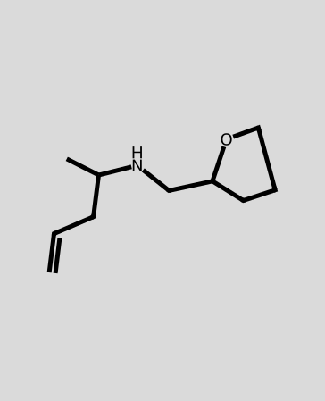 C=CCC(C)NCC1CCCO1